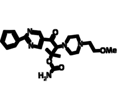 COCCN1CCN(C(C(=O)c2cnc(-c3ccccc3)nc2)C(C)(C)OC(N)=O)CC1